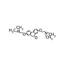 CCN(CC)CCOc1ccc2c(c1)CC(=O)c1cc(OCCN(CC)CC)ccc1-2